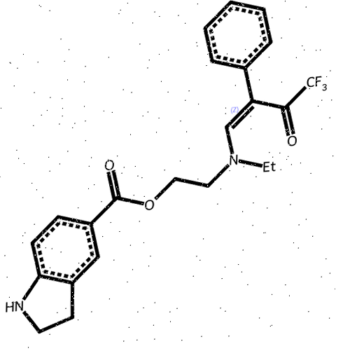 CCN(/C=C(\C(=O)C(F)(F)F)c1ccccc1)CCOC(=O)c1ccc2c(c1)CCN2